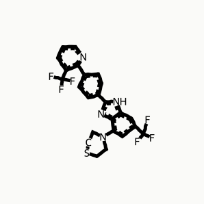 FC(F)(F)c1cc(N2CCSCC2)c2nc(-c3ccc(-c4ncccc4C(F)(F)F)cc3)[nH]c2c1